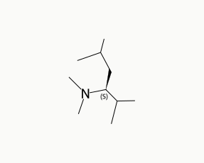 CC(C)C[C@@H](C(C)C)N(C)C